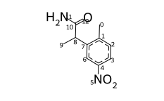 Cc1ccc([N+](=O)[O-])cc1C(C)C(N)=O